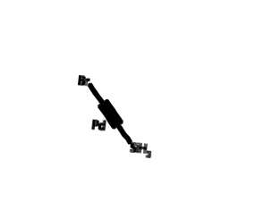 [Pd].[SiH3]C#CBr